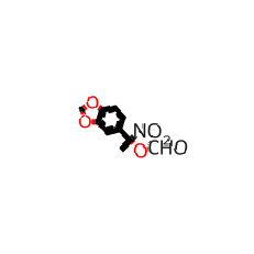 CC(OC=O)(c1ccc2c(c1)OCO2)[N+](=O)[O-]